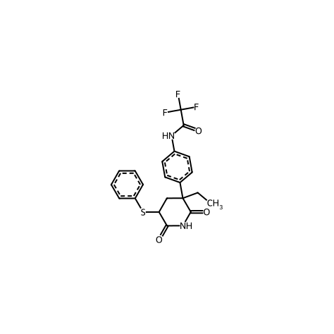 CCC1(c2ccc(NC(=O)C(F)(F)F)cc2)CC(Sc2ccccc2)C(=O)NC1=O